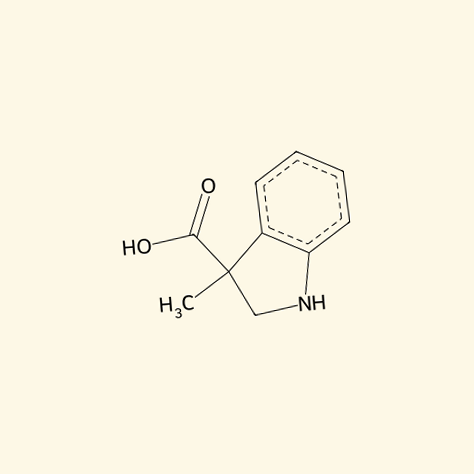 CC1(C(=O)O)CNc2ccccc21